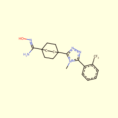 Cn1c(-c2ccccc2C(F)(F)F)nnc1C12CCC(/C(N)=N/O)(CC1)CC2